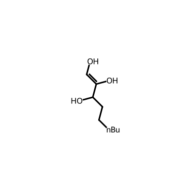 CCCCCCC(O)C(O)=CO